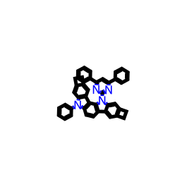 c1ccc(-c2cc(-c3ccccc3)nc(-n3c4cc5c(cc4c4ccc6c(c7cc8c(cc7n6-c6ccccc6)CC8)c43)CC5)n2)cc1